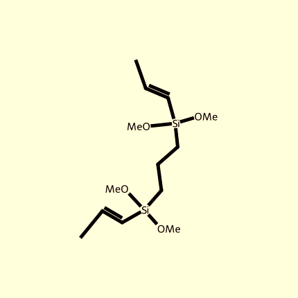 CC=C[Si](CCC[Si](C=CC)(OC)OC)(OC)OC